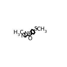 CSc1ccc(C(=O)c2cnc(C)[nH]2)cc1